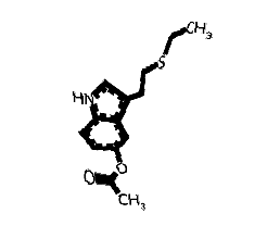 CCSCCc1c[nH]c2ccc(OC(C)=O)cc12